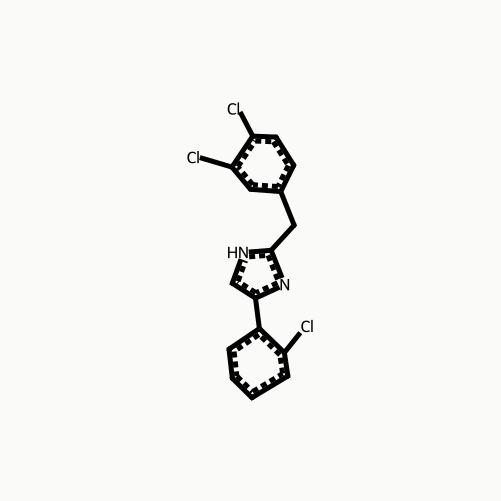 Clc1ccc(Cc2nc(-c3ccccc3Cl)c[nH]2)cc1Cl